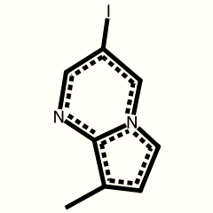 Cc1ccn2cc(I)cnc12